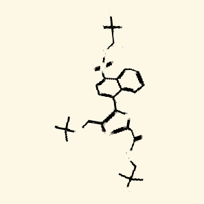 C[C@H](NS(=O)(=O)c1ccc(-c2sc(C(=O)NCC(C)(C)O)nc2COC(C)(C)C)c2ccccc12)C(F)(F)F